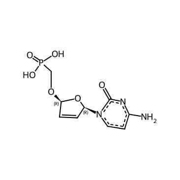 Nc1ccn([C@H]2C=C[C@@H](OCP(=O)(O)O)O2)c(=O)n1